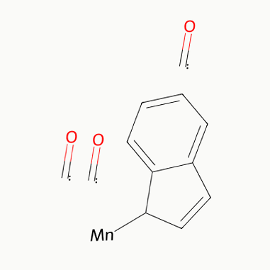 [C]=O.[C]=O.[C]=O.[Mn][CH]1C=Cc2ccccc21